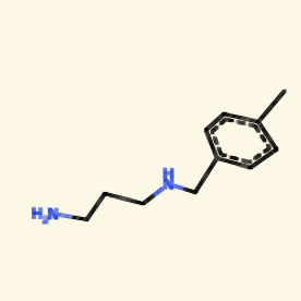 Cc1ccc(CNCCCN)cc1